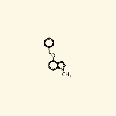 Cn1ccc2c(OCc3ccccc3)cccc21